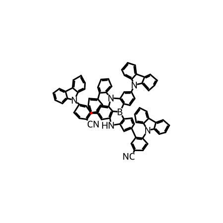 N#Cc1ccc(-n2c3ccccc3c3ccccc32)c(-c2ccc3c(c2)Nc2cc(-c4cc(-n5c6ccccc6c6ccccc65)ccc4C#N)cc4c2B3c2ccc(-n3c5ccccc5c5ccccc53)cc2N4c2ccccc2-c2ccccc2)c1